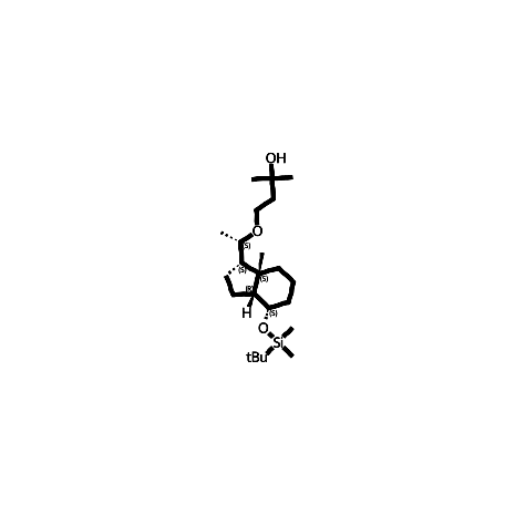 C[C@H](OCCC(C)(C)O)[C@H]1CC[C@H]2[C@@H](O[Si](C)(C)C(C)(C)C)CCC[C@@]12C